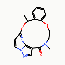 CC1Oc2ccn3ncc(c3n2)C(=O)N(C)CCOc2ccccc21